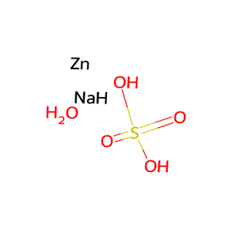 O.O=S(=O)(O)O.[NaH].[Zn]